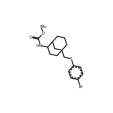 CC(C)(C)OC(=O)NC1CCC2(CSc3ccc(Br)cc3)CCCC1C2